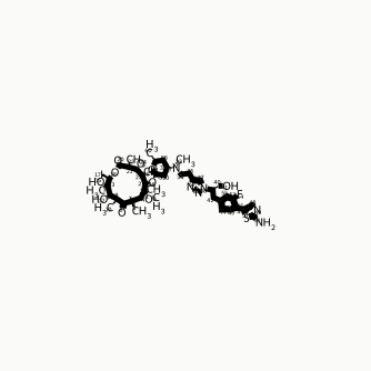 CO[C@]1(C)C[C@@H](C)C(=O)[C@H](C)[C@@H](O)[C@](C)(O)[C@@H](I)OC(=O)[C@H](C)C(=O)[C@H](C)[C@H]1O[C@H]1C[C@@H](N(C)CCc2cn([C@H](CO)Cc3ccc(-c4cnc(N)s4)c(F)c3)nn2)C[C@@H](C)O1